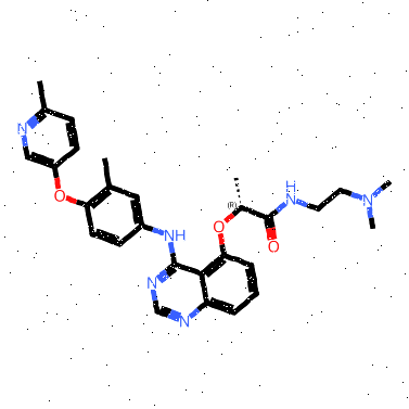 Cc1ccc(Oc2ccc(Nc3ncnc4cccc(O[C@H](C)C(=O)NCCN(C)C)c34)cc2C)cn1